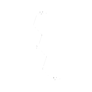 CS[CH]C[N]C[CH]SC